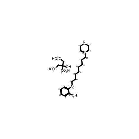 O=C(O)CC(O)(CC(=O)O)C(=O)O.Oc1ccccc1OCCCCCCCCN1CCOCC1